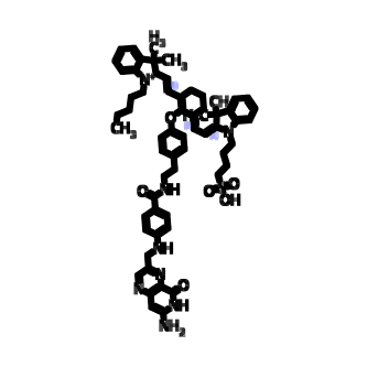 CCCCC[N+]1=C(/C=C/C2=C(Oc3ccc(CCNC(=O)c4ccc(NCc5cnc6cc(N)[nH]c(=O)c6n5)cc4)cc3)C(=C/C=C3/N(CCCCS(=O)(=O)O)c4ccccc4C3(C)C)/CCC2)C(C)(C)c2ccccc21